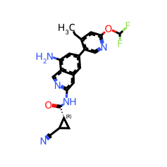 CCc1cc(OC(F)F)ncc1-c1cc(N)c2cnc(NC(=O)[C@@H]3CC3C#N)cc2c1